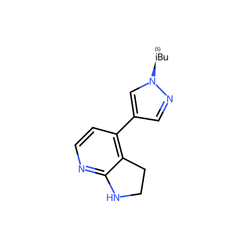 CC[C@H](C)n1cc(-c2ccnc3c2CCN3)cn1